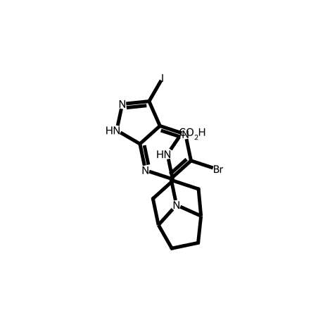 O=C(O)NC1CC2CCC(C1)N2c1nc2[nH]nc(I)c2nc1Br